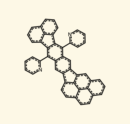 c1ccc(-c2c3cc4c(cc3c(-c3ccccn3)c3c5cccc6cccc(c23)c65)c2cc3cccc5ccc6ccc4c2c6c53)nc1